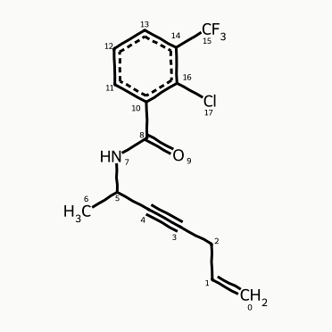 C=CCC#CC(C)NC(=O)c1cccc(C(F)(F)F)c1Cl